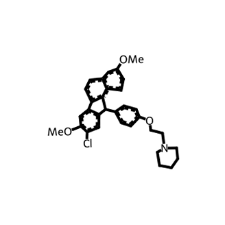 COc1ccc2c3c(ccc2c1)-c1cc(OC)c(Cl)cc1C3c1ccc(OCCN2CCCCC2)cc1